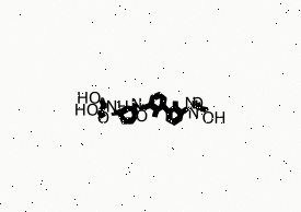 Cc1c(-c2noc(CO)n2)cccc1-c1cccc(-c2nc3cc(CNC(CO)C(=O)O)ccc3o2)c1C